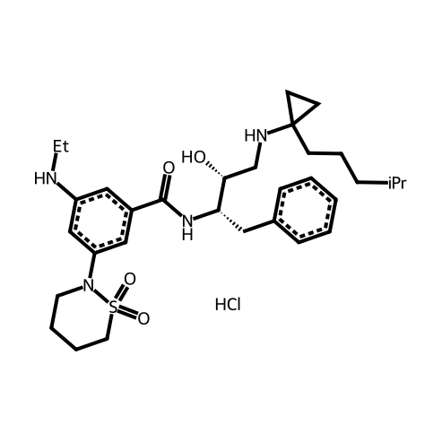 CCNc1cc(C(=O)N[C@@H](Cc2ccccc2)[C@H](O)CNC2(CCCC(C)C)CC2)cc(N2CCCCS2(=O)=O)c1.Cl